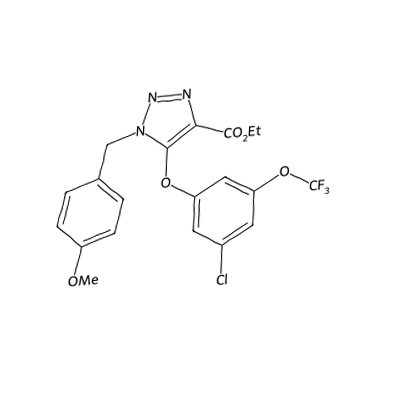 CCOC(=O)c1nnn(Cc2ccc(OC)cc2)c1Oc1cc(Cl)cc(OC(F)(F)F)c1